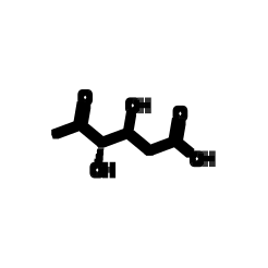 CC(=O)[C@@H](O)C(O)CC(=O)O